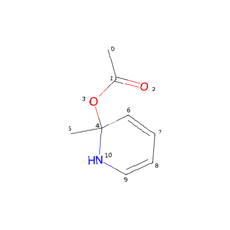 CC(=O)OC1(C)C=CC=CN1